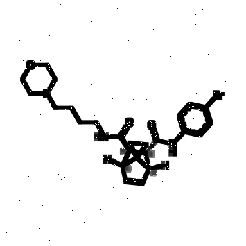 O=C(NCCCCN1CCOCC1)[C@H]1[C@H](C(=O)Nc2ccc(Br)cc2)[C@@H]2C=C[C@H]1C21CC1